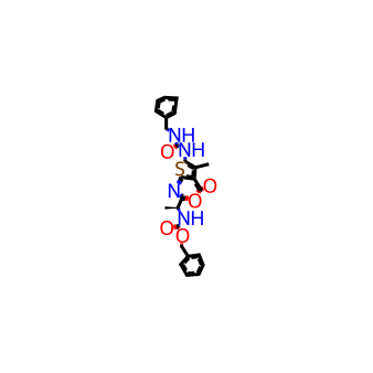 Cc1c(NC(=O)NCc2ccccc2)sc2nc([C@H](C)NC(=O)OCc3ccccc3)oc(=O)c12